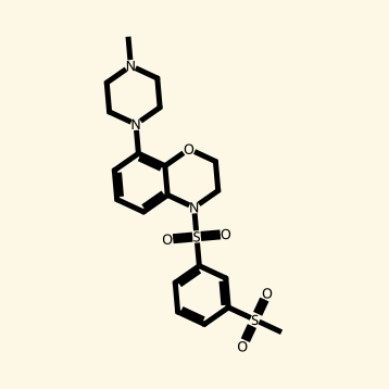 CN1CCN(c2cccc3c2OCCN3S(=O)(=O)c2cccc(S(C)(=O)=O)c2)CC1